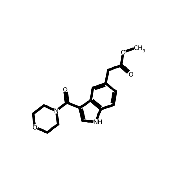 COC(=O)Cc1ccc2[nH]cc(C(=O)N3CCOCC3)c2c1